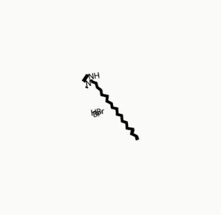 Br.C=CC=CCCCCCCCCCCCCCCc1[nH]cc[n+]1C.[Br-]